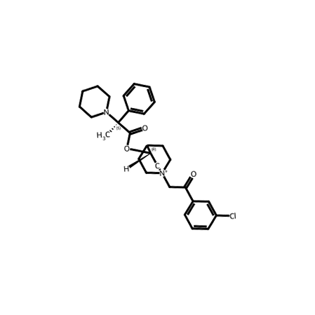 C[C@@](C(=O)O[C@H]1C[N+]2(CC(=O)c3cccc(Cl)c3)CCC1CC2)(c1ccccc1)N1CCCCC1